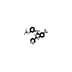 CN(C)c1ccc2nc(-c3ccnnc3)nc(Nc3cccc(OC(F)F)c3)c2c1